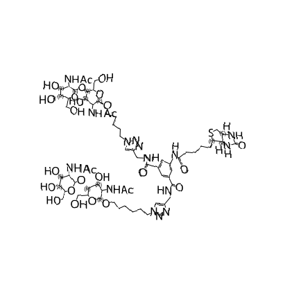 CC(=O)NC1C(O[C@H]2C(CO)O[C@@H](OCCCCCCn3cc(CNC(=O)c4cc(NC(=O)CCCC[C@H]5SC[C@H]6NC(=O)N[C@H]65)cc(C(=O)NCc5cn(CCCCCO[C@@H]6OC(CO)[C@H](O[C@H]7OC(CO)[C@H](O)[C@H](O)C7NC(C)=O)[C@H](O)C6NC(C)=O)nn5)c4)nn3)C(NC(C)=O)[C@H]2O)OC(CO)[C@H](O)[C@@H]1O